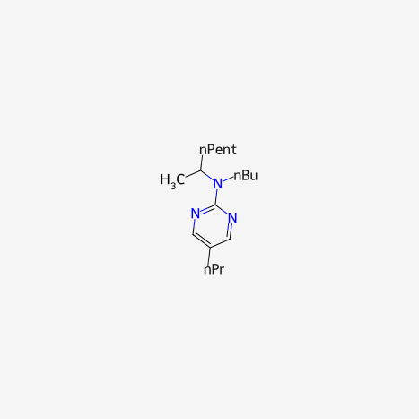 CCCCCC(C)N(CCCC)c1ncc(CCC)cn1